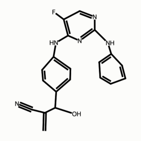 C=C(C#N)C(O)c1ccc(Nc2nc(Nc3ccccc3)ncc2F)cc1